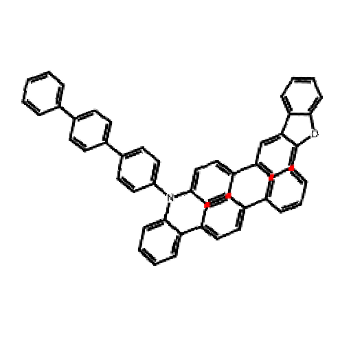 c1ccc(-c2ccc(-c3ccc(N(c4ccc(-c5ccc6oc7ccccc7c6c5)cc4)c4ccccc4-c4ccc(-c5ccccc5)cc4)cc3)cc2)cc1